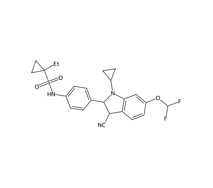 CCC1(S(=O)(=O)Nc2ccc(C3C(C#N)c4ccc(OC(F)F)cc4N3C3CC3)cc2)CC1